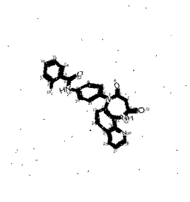 O=C1CC(=O)N(c2ccc(NC(=O)c3ccccc3I)cc2)c2ccc3cccnc3c2N1